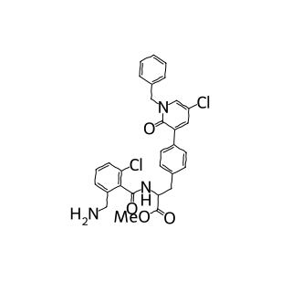 COC(=O)C(Cc1ccc(-c2cc(Cl)cn(Cc3ccccc3)c2=O)cc1)NC(=O)c1c(Cl)cccc1CN